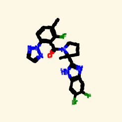 Cc1ccc(-n2nccn2)c(C(=O)N2CCCC2(C)c2nc3cc(F)c(Br)cc3[nH]2)c1F